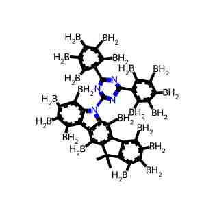 Bc1c(B)c(B)c(-c2nc(-c3c(B)c(B)c(B)c(B)c3B)nc(-n3c4c(B)c(B)c(B)c(B)c4c4c(B)c5c(c(B)c43)-c3c(B)c(B)c(B)c(B)c3C5(C)C)n2)c(B)c1B